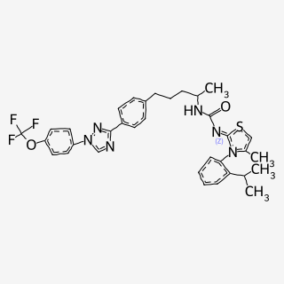 Cc1cs/c(=N\C(=O)NC(C)CCCc2ccc(-c3ncn(-c4ccc(OC(F)(F)F)cc4)n3)cc2)n1-c1ccccc1C(C)C